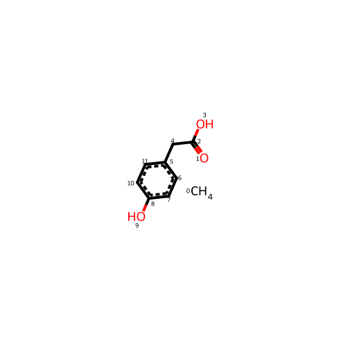 C.O=C(O)Cc1ccc(O)cc1